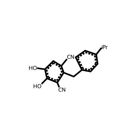 CC(C)c1ccc(Cc2c(C#N)cc(O)c(O)c2C#N)cc1